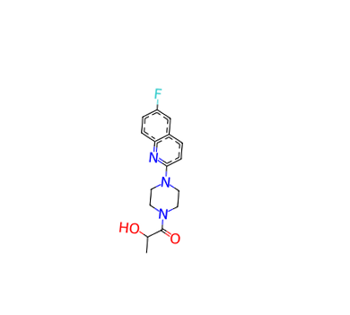 CC(O)C(=O)N1CCN(c2ccc3cc(F)ccc3n2)CC1